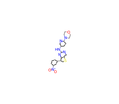 O=[N+]([O-])c1cccc(-c2csc3cnc(Nc4ccc(N5CCOCC5)nc4)nc23)c1